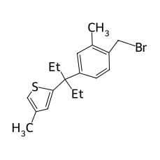 CCC(CC)(c1ccc(CBr)c(C)c1)c1cc(C)cs1